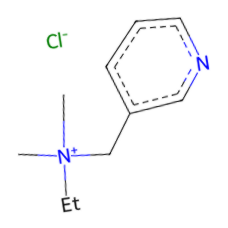 CC[N+](C)(C)Cc1cccnc1.[Cl-]